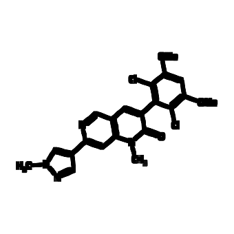 COc1cc(OC)c(Cl)c(-c2cc3cnc(-c4cnn(C)c4)cc3n(C)c2=O)c1Cl